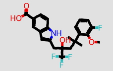 COc1c(F)cccc1C(C)(C)CC(O)(Cc1cc2cc(C(=O)O)ccc2[nH]1)C(F)(F)F